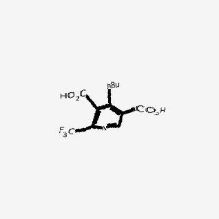 CCCCc1c(C(=O)O)cnc(C(F)(F)F)c1C(=O)O